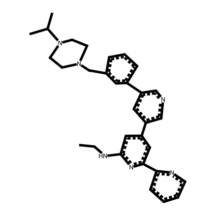 CCNc1cc(-c2cncc(-c3cccc(CN4CCN(C(C)C)CC4)c3)c2)cc(-c2ccccn2)n1